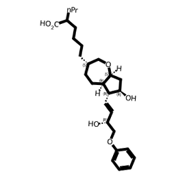 CCCC(CCCC[C@H]1CC[C@@H]2[C@@H](C=C[C@@H](O)COc3ccccc3)[C@H](O)C[C@@H]2OC1)C(=O)O